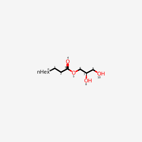 CCCCCCCCC(=O)OC[C@H](O)CO